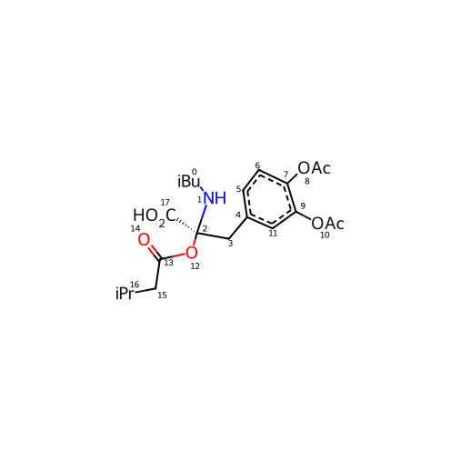 CCC(C)N[C@@](Cc1ccc(OC(C)=O)c(OC(C)=O)c1)(OC(=O)CC(C)C)C(=O)O